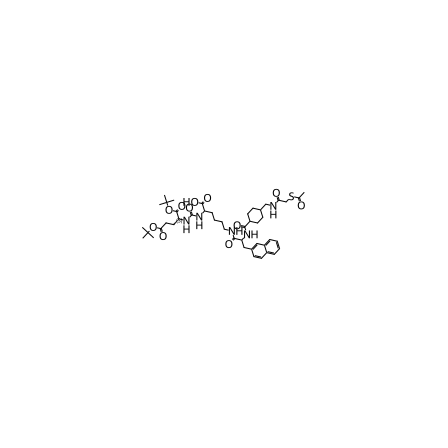 CC(=O)SCC(=O)NCC1CCC(C(=O)NC(Cc2ccc3ccccc3c2)C(=O)NCCCCC(NC(=O)N[C@@H](CCC(=O)OC(C)(C)C)C(=O)OC(C)(C)C)C(=O)O)CC1